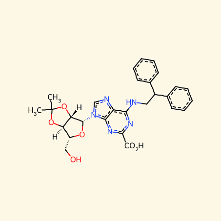 CC1(C)O[C@H]2[C@H](O1)[C@@H](CO)O[C@H]2n1cnc2c(NCC(c3ccccc3)c3ccccc3)nc(C(=O)O)nc21